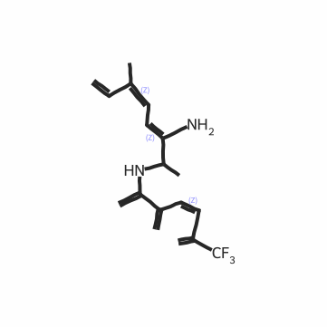 C=C/C(C)=C\C=C(/N)C(C)NC(=C)C(=C)/C=C\C(=C)C(F)(F)F